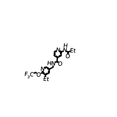 CCC(=O)Nc1cc(C(=O)NCc2cnc(OCC(F)(F)F)c(CC)c2)ccn1